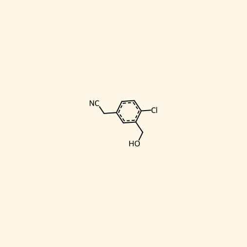 N#CCc1ccc(Cl)c(CO)c1